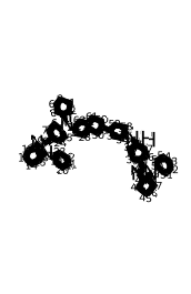 c1ccc(N(c2ccc(-c3nc4ccccc4n3-c3ccccc3)cc2)c2ccc3cc(-c4ccc(Nc5ccc(-c6nc7ccccc7n6-c6ccccc6)cc5)cc4)ccc3c2)cc1